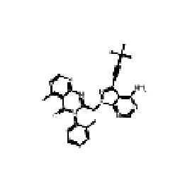 Cc1ccccc1-n1c(Cn2nc(C#CC(C)(C)C)c3c(N)ncnc32)nc2nccc(C)c2c1=O